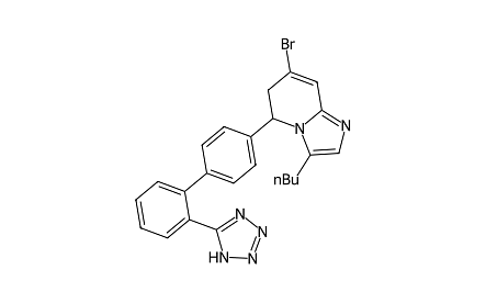 CCCCc1cnc2n1C(c1ccc(-c3ccccc3-c3nnn[nH]3)cc1)CC(Br)=C2